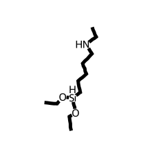 CCNCCCCC[SiH](OCC)OCC